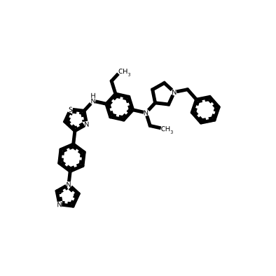 CCc1cc(N(CC)C2CCN(Cc3ccccc3)C2)ccc1Nc1nc(-c2ccc(-n3ccnc3)cc2)cs1